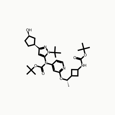 C[C@H](Oc1cc(N(C(=O)OC(C)(C)C)c2cc([C@H]3CC[C@@H](O)C3)nn2C(C)(C)C)ccn1)C1CC(NC(=O)OC(C)(C)C)C1